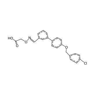 O=C(O)CON=Cc1cccc(-c2ccc(OCc3ccc(Cl)cc3)cc2)c1